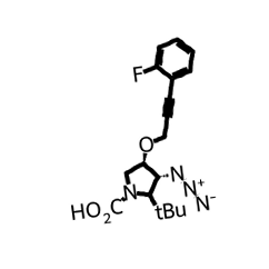 CC(C)(C)C1[C@@H](N=[N+]=[N-])[C@H](OCC#Cc2ccccc2F)CN1C(=O)O